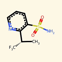 C[C@@H](c1ncccc1S(N)(=O)=O)C(F)(F)F